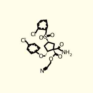 N#CCOC(=O)[C@]1(C(N)=O)C[C@H](S(=O)(=O)c2ccccc2Cl)C[C@H]1COc1ccc(Cl)cc1